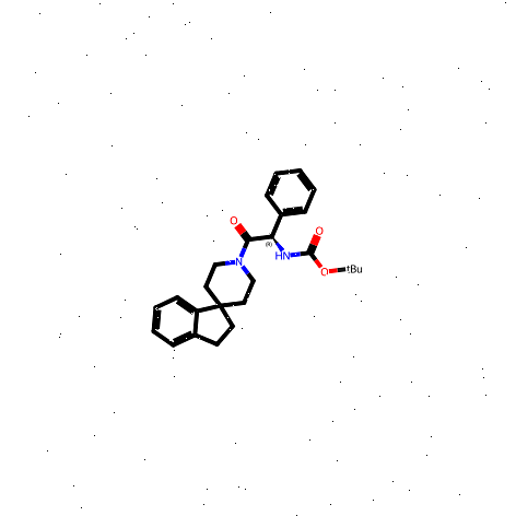 CC(C)(C)OC(=O)N[C@@H](C(=O)N1CCC2(CCc3ccccc32)CC1)c1ccccc1